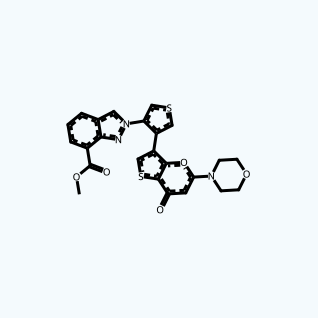 COC(=O)c1cccc2cn(-c3cscc3-c3csc4c(=O)cc(N5CCOCC5)oc34)nc12